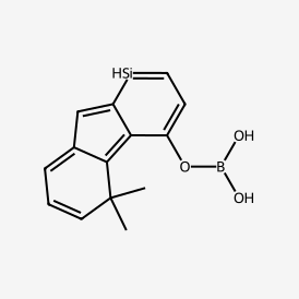 CC1(C)C=CC=C2C=c3[siH]ccc(OB(O)O)c3=C21